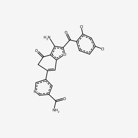 NC(=O)c1cncc(C2=Cc3oc(C(=O)c4ccc(Cl)cc4Cl)c(N)c3C(=O)C2)c1